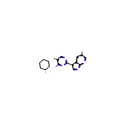 O=C(O)[C@H]1CCCC[C@@H]1Nc1nc(-c2c[nH]c3ncc(Cl)cc23)ncc1F